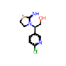 N=C1SCCN1C(CO)c1ccc(Cl)nc1